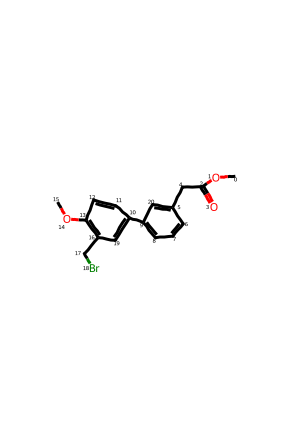 COC(=O)Cc1cccc(-c2ccc(OC)c(CBr)c2)c1